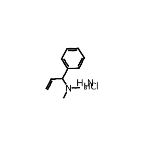 C=CC(c1ccccc1)N(C)C.Cl.N